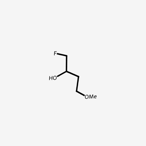 COCCC(O)CF